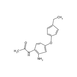 CCc1ccc(Oc2ccc(NC(C)=O)c(N)c2)cc1